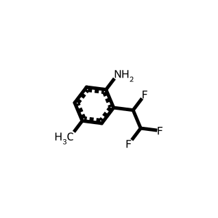 Cc1ccc(N)c(C(F)C(F)F)c1